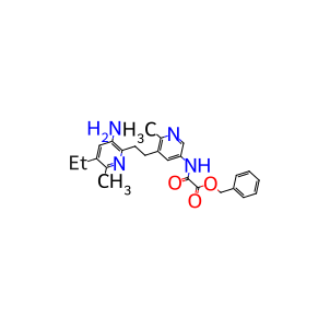 CCc1cc(N)c(CCc2cc(NC(=O)C(=O)OCc3ccccc3)cnc2C)nc1C